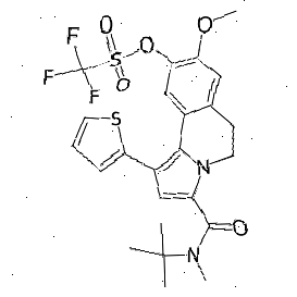 COc1cc2c(cc1OS(=O)(=O)C(F)(F)F)-c1c(-c3cccs3)cc(C(=O)N(C)C(C)(C)C)n1CC2